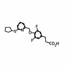 O=C(O)CCc1cc(F)c(OCc2cccc(SC3CCCC3)n2)c(F)c1